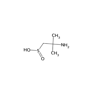 CC(C)(N)CS(=O)O